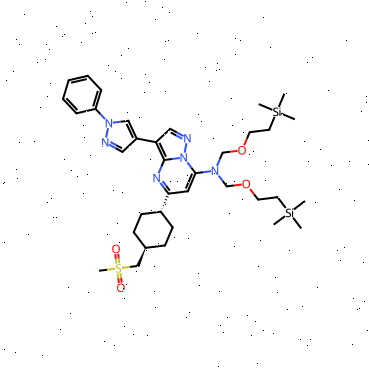 C[Si](C)(C)CCOCN(COCC[Si](C)(C)C)c1cc([C@H]2CC[C@H](CS(C)(=O)=O)CC2)nc2c(-c3cnn(-c4ccccc4)c3)cnn12